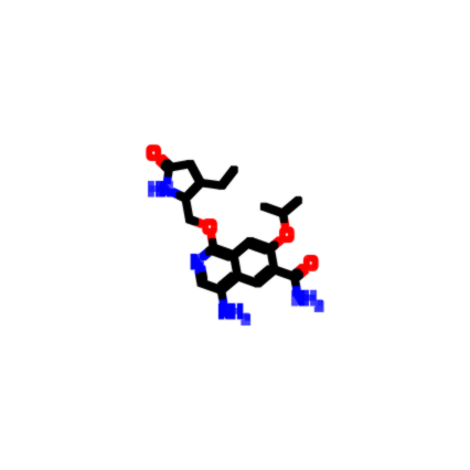 CCC1CC(=O)NC1COc1ncc(N)c2cc(C(N)=O)c(OC(C)C)cc12